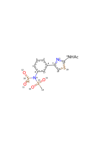 CC(=O)Nc1nc(-c2cccc(N([SH](=O)=O)S(C)(=O)=O)c2)cs1